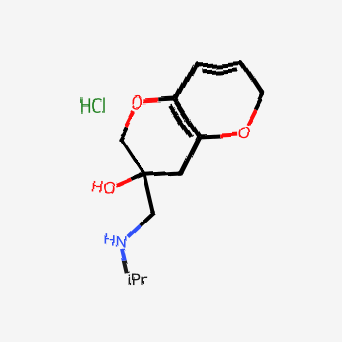 CC(C)NCC1(O)COC2=C(C1)OCC=C2.Cl